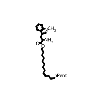 CCCCC/C=C\C/C=C\CCCCCCCCOC(=O)C(N)Cc1cn(C)c2ccccc12